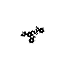 O=C1C(NS(=O)(=O)c2ccccc2)Cc2cc(-c3ccsc3)ccc2N1Cc1ccccc1